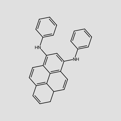 C1=Cc2ccc3c(Nc4ccccc4)cc(Nc4ccccc4)c4c3c2C(C=C4)C1